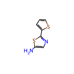 Nc1cnc(-c2cccs2)s1